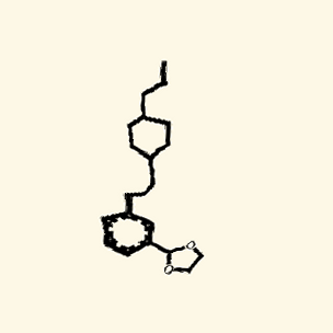 CCCC1CCC(CCc2cccc(C3OCCO3)c2)CC1